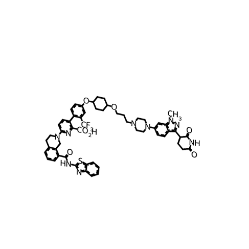 Cn1nc(C2CCC(=O)NC2=O)c2ccc(N3CCN(CCCOC4CCC(Oc5ccc(-c6ccc(N7CCc8cccc(C(=O)Nc9nc%10ccccc%10s9)c8C7)nc6C(=O)O)c(C(F)(F)F)c5)CC4)CC3)cc21